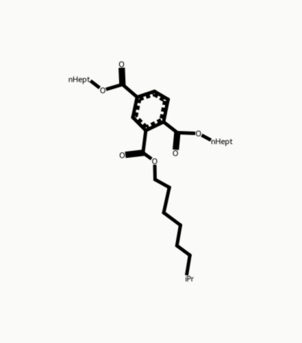 CCCCCCCOC(=O)c1ccc(C(=O)OCCCCCCC)c(C(=O)OCCCCCCC(C)C)c1